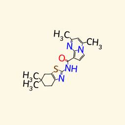 Cc1cc(C)n2ccc(C(=O)Nc3nc4c(s3)CC(C)(C)CC4)c2n1